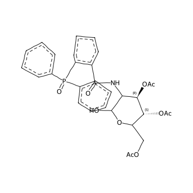 CC(=O)OCC1OC(O)C(NC(=O)c2ccccc2P(=O)(c2ccccc2)c2ccccc2)[C@@H](OC(C)=O)[C@@H]1OC(C)=O